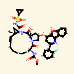 COC(=O)N[C@H]1CCCCC/C=C\[C@@H]2C[C@@]2(C(=O)NS(=O)(=O)C2CC2)NC(=O)[C@@H]2C[C@@H](Oc3cc(-c4ccccc4F)nc4c3oc3ccccc34)CN2C1=O